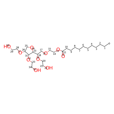 CCCCCCCCCCCC(=O)OCCOCC(OCCO)C1OCC(OCCO)C1OCCO